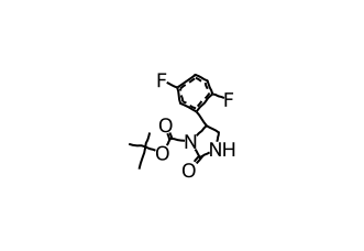 CC(C)(C)OC(=O)N1C(=O)NCC1c1cc(F)ccc1F